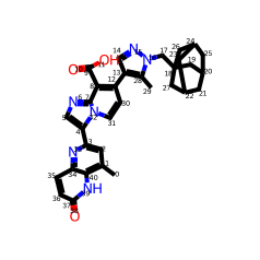 Cc1cc(-c2cnc3c(C(=O)O)c(-c4cnn(CC56CC7CC(CC(C7)C5)C6)c4C)ccn23)nc2ccc(=O)[nH]c12